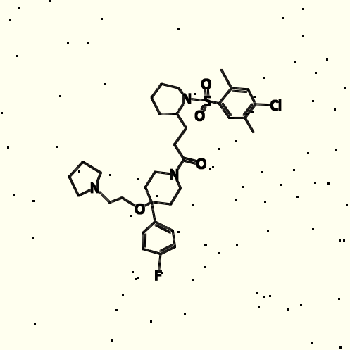 Cc1cc(S(=O)(=O)N2CCCCC2CCC(=O)N2CCC(OCCN3CCCC3)(c3ccc(F)cc3)CC2)c(C)cc1Cl